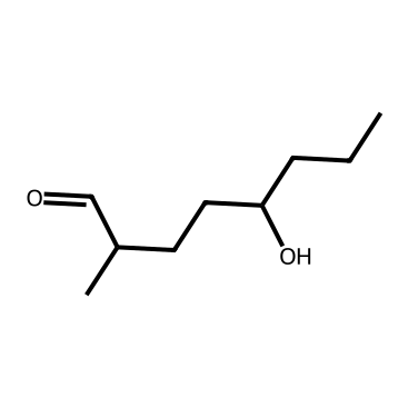 CCCC(O)CCC(C)C=O